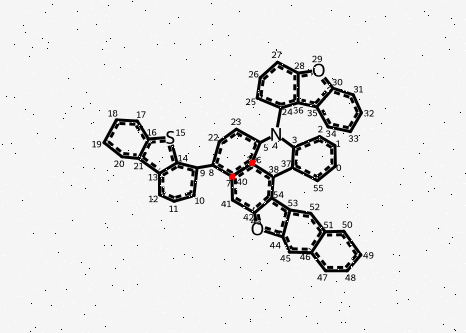 c1ccc(N(c2ccc(-c3cccc4c3sc3ccccc34)cc2)c2cccc3oc4ccccc4c23)c(-c2cccc3oc4cc5ccccc5cc4c23)c1